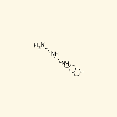 CC1CCC2CC(CNCCCNCCCN)CCC2C1